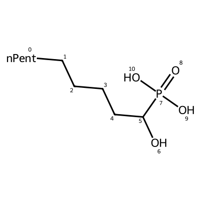 CCCCCCCCCC(O)P(=O)(O)O